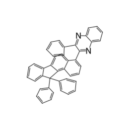 c1ccc(-c2nc3ccccc3nc2-c2cccc3c4c(ccc23)-c2ccccc2C4(c2ccccc2)c2ccccc2)cc1